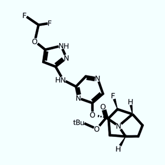 CC(C)(C)OC(=O)N1[C@@H]2CC[C@H]1[C@H](F)[C@@H](Oc1cncc(Nc3cc(OC(F)F)[nH]n3)n1)C2